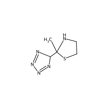 CC1(C2N=NN=N2)NCCS1